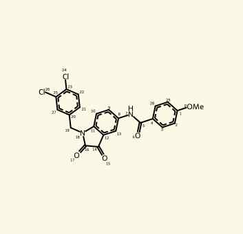 COc1ccc(C(=O)Nc2ccc3c(c2)C(=O)C(=O)N3Cc2ccc(Cl)c(Cl)c2)cc1